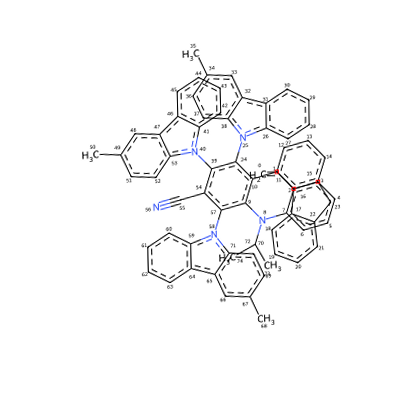 C=Cc1ccccc1N(c1c(-c2cccc3c2-c2ccccc2C3)c(-n2c3ccccc3c3cc(C)ccc32)c(-n2c3ccccc3c3cc(C)ccc32)c(C#N)c1-n1c2ccccc2c2cc(C)ccc21)C(C)C